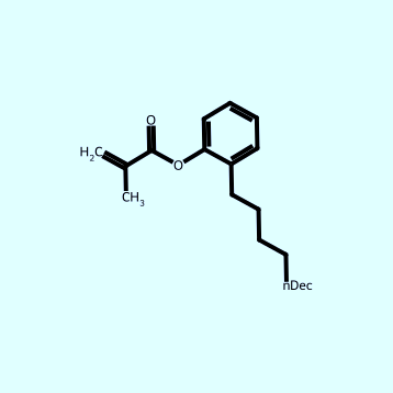 C=C(C)C(=O)Oc1ccccc1CCCCCCCCCCCCCC